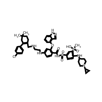 CC1(C)CCC(CNCCNc2ccc(C(=O)NS(=O)(=O)c3ccc(NC4CCN(C5CC5)CC4)c([N+](C)([O-])O)c3)c(Oc3cccc4[nH]ncc34)c2)=C(c2ccc(Cl)cc2)C1